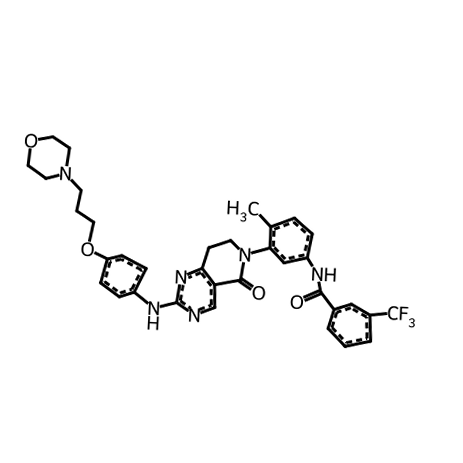 Cc1ccc(NC(=O)c2cccc(C(F)(F)F)c2)cc1N1CCc2nc(Nc3ccc(OCCCN4CCOCC4)cc3)ncc2C1=O